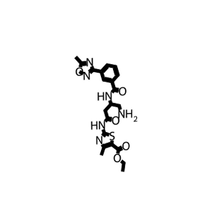 CCOC(=O)c1sc(NC(=O)CC(CN)NC(=O)c2cccc(-c3noc(C)n3)c2)nc1C